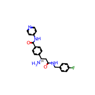 N[C@@H](CC(=O)NCc1ccc(F)cc1)c1ccc(C(=O)Nc2ccncc2)cc1